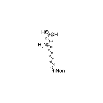 CCCCCCCCCCCCCCCCCC(N)CCC(O)O